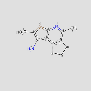 Cc1nc2sc(C(=O)O)c(N)c2c2c1CCC2